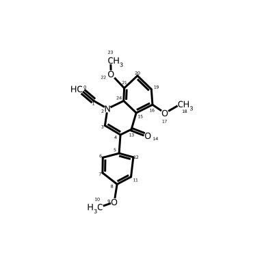 C#Cn1cc(-c2ccc(OC)cc2)c(=O)c2c(OC)ccc(OC)c21